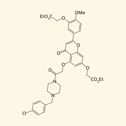 CCOC(=O)COc1cc(OCC(=O)N2CCN(Cc3ccc(Cl)cc3)CC2)c2c(=O)cc(-c3ccc(OC)c(OCC(=O)OCC)c3)oc2c1